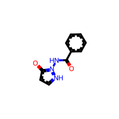 O=C(Nn1[nH]ccc1=O)c1ccccc1